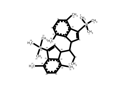 CCC(C1C=C([Si](C)(C)C)c2c(C)ccc(C)c21)C1C=C([Si](C)(C)C)c2c(C)ccc(C)c21